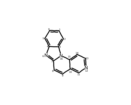 c1ccc2c(c1)nc1ccc3cnccc3n12